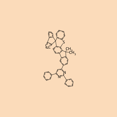 CC1(C)c2ccc(-c3cc(-c4ccccc4)nc(-c4ccccc4)n3)cc2-c2ccc3c(c21)Sc1ccccc1C31c2ccccc2-c2ccccc21